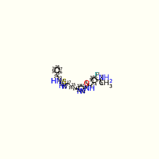 CC(N)c1cc(CC(=O)Nc2ccc(CCCCc3nnc(NCCc4ccccc4)s3)nn2)ccc1F